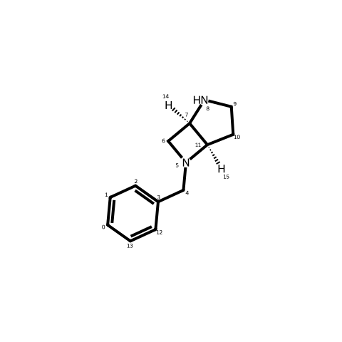 c1ccc(CN2C[C@H]3NCC[C@H]32)cc1